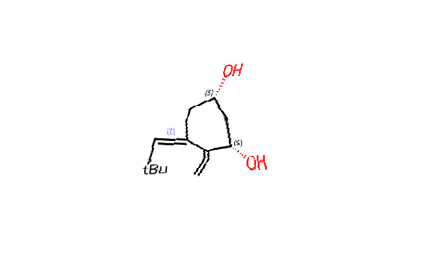 C=C1/C(=C\C(C)(C)C)C[C@H](O)C[C@@H]1O